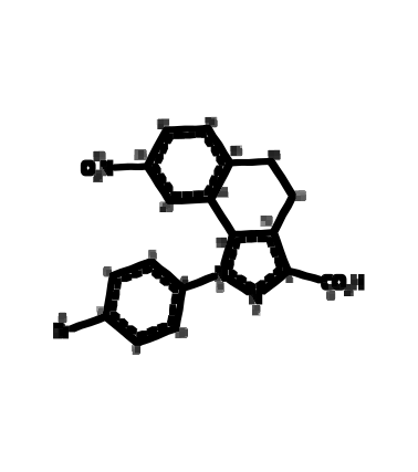 O=C(O)c1nn(-c2ccc(Br)cc2)c2c1CCc1ccc([N+](=O)[O-])cc1-2